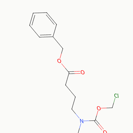 CN(CCCC(=O)OCc1ccccc1)C(=O)OCCl